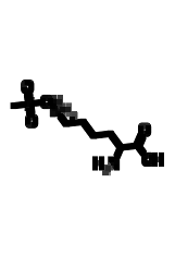 CS(=O)(=O)O.NCCCCC(N)C(=O)O